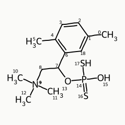 Cc1ccc(C)c(C(C[N+](C)(C)C)OP(O)(=S)S)c1